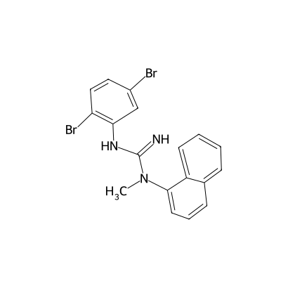 CN(C(=N)Nc1cc(Br)ccc1Br)c1cccc2ccccc12